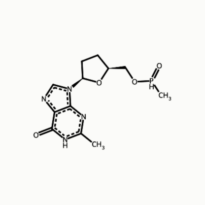 Cc1nc2c(ncn2[C@H]2CC[C@@H](CO[PH](C)=O)O2)c(=O)[nH]1